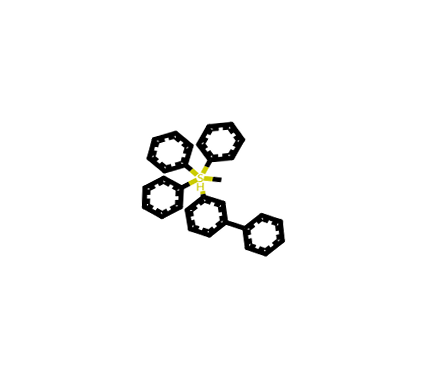 C[SH](c1ccccc1)(c1ccccc1)(c1ccccc1)c1cccc(-c2ccccc2)c1